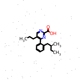 CCCc1cnc(C(=O)O)nc1-c1ccccc1C[C@@H](C)CC